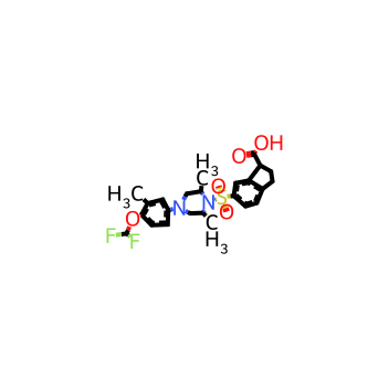 Cc1cc(N2CC(C)N(S(=O)(=O)c3ccc4c(c3)C(C(=O)O)CC4)C(C)C2)ccc1OC(F)F